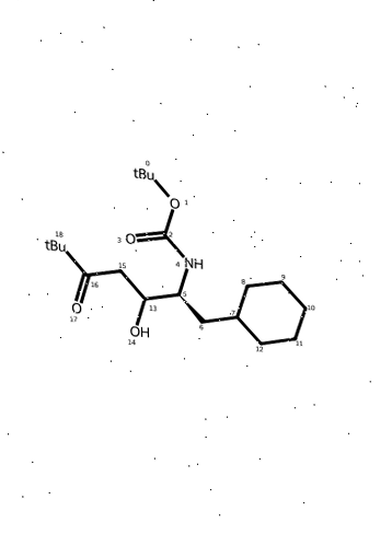 CC(C)(C)OC(=O)N[C@@H](CC1CCCCC1)C(O)CC(=O)C(C)(C)C